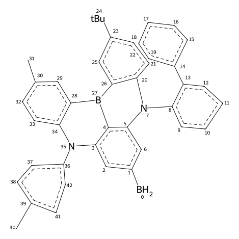 Bc1cc2c3c(c1)N(c1ccccc1-c1ccccc1)c1ccc(C(C)(C)C)cc1B3c1cc(C)ccc1N2c1ccc(C)cc1